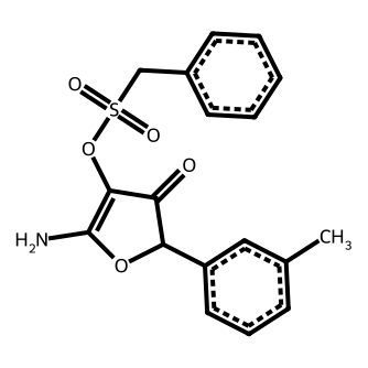 Cc1cccc(C2OC(N)=C(OS(=O)(=O)Cc3ccccc3)C2=O)c1